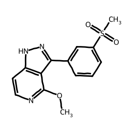 COc1nccc2[nH]nc(-c3cccc(S(C)(=O)=O)c3)c12